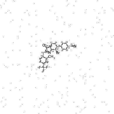 Cc1nc(C(F)(F)F)ccc1Cn1nc2c(Br)c(-c3ccc(C#N)cc3)ccn2c1=O